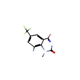 Cn1c(=O)nc(O)c2cc(C(F)(F)F)cc(Cl)c21